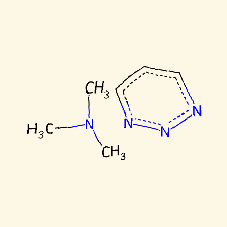 CN(C)C.c1cnnnc1